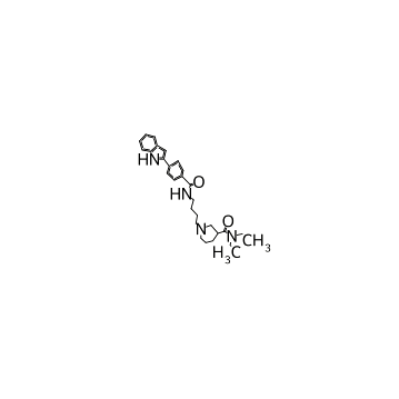 CCN(CC)C(=O)C1CCCN(CCCCNC(=O)c2ccc(-c3cc4ccccc4[nH]3)cc2)C1